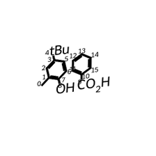 Cc1cc(C(C)(C)C)ccc1O.O=C(O)c1ccccc1